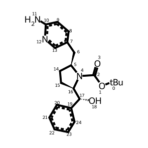 CC(C)(C)OC(=O)N1[C@H](Cc2ccc(N)nc2)CC[C@@H]1[C@H](O)c1ccccc1